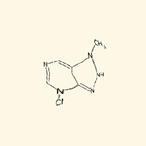 CN1NN=C2C1=CN=CN2Cl